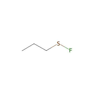 CCCSF